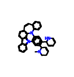 CN1CCC=CC1c1ccc(N2c3ccccc3C=Cc3ccc4c5ccccc5n(-c5ccc(C6C=CC=CN6)cc5)c4c32)cc1